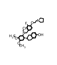 CCN(Cc1ccc(OCCN2CCCC2)c(F)c1)c1cc(OC)c(OC)cc1[C@@H]1CCc2cc(O)ccc2C1